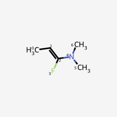 C/C=C(\F)N(C)C